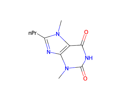 CCCc1nc2c(c(=O)[nH]c(=O)n2C)n1C